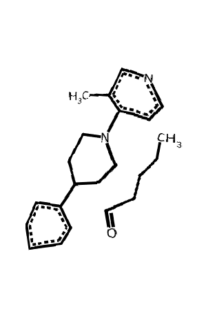 CCCCC=O.Cc1cnccc1N1CCC(c2ccccc2)CC1